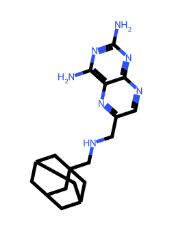 Nc1nc(N)c2nc(CNCC34CC5CC(CC(C5)C3)C4)cnc2n1